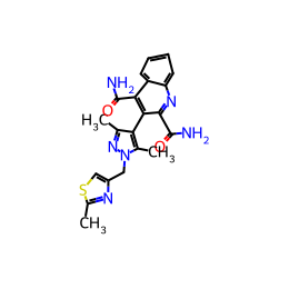 Cc1nc(Cn2nc(C)c(-c3c(C(N)=O)nc4ccccc4c3C(N)=O)c2C)cs1